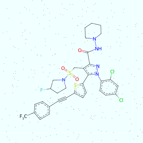 O=C(NN1CCCCC1)c1nn(-c2ccc(Cl)cc2Cl)c(-c2ccc(C#Cc3ccc(C(F)(F)F)cc3)s2)c1CS(=O)(=O)N1CCC(F)C1